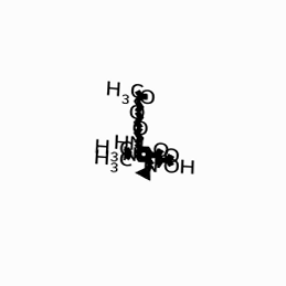 CC(=O)CCOCCOCCNc1cc2c(=O)c(C(=O)O)cn(C3CC3)c2cc1N(C)C